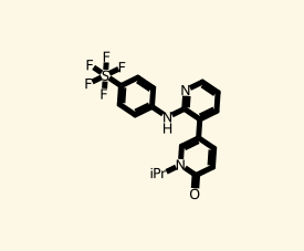 CC(C)n1cc(-c2cccnc2Nc2ccc(S(F)(F)(F)(F)F)cc2)ccc1=O